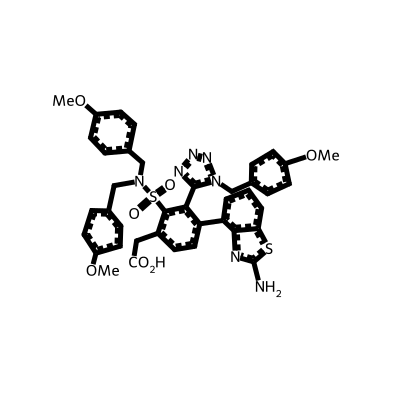 COc1ccc(CN(Cc2ccc(OC)cc2)S(=O)(=O)c2c(CC(=O)O)ccc(-c3cccc4sc(N)nc34)c2-c2nnnn2Cc2ccc(OC)cc2)cc1